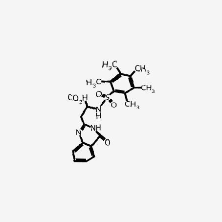 Cc1c(C)c(C)c(S(=O)(=O)NC(Cc2nc3ccccc3c(=O)[nH]2)C(=O)O)c(C)c1C